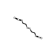 O=C=NCCSSCCN=C=O